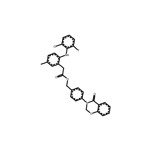 Cc1ccc(Nc2c(F)cccc2Cl)c(CC(=O)OCc2ccc(N3COc4ccccc4C3=O)cc2)c1